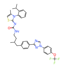 Cc1cs/c(=N\C(=O)NCCC(C)Cc2ccc(-c3ncn(-c4ccc(OC(F)(F)F)cc4)n3)cc2)n1-c1ccccc1C(C)C